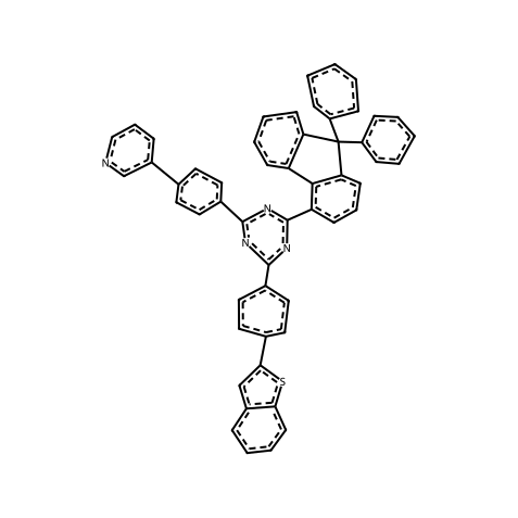 c1ccc(C2(c3ccccc3)c3ccccc3-c3c(-c4nc(-c5ccc(-c6cccnc6)cc5)nc(-c5ccc(-c6cc7ccccc7s6)cc5)n4)cccc32)cc1